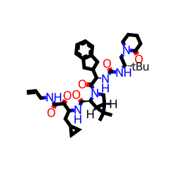 C=CCNC(=O)C(=O)C(CC1CC1)NC(=O)[C@@H]1[C@@H]2[C@H](CN1C(=O)[C@@H](NC(=O)N[C@H](CN1CCCCC1=O)C(C)(C)C)C1Cc3ccccc3C1)C2(C)C